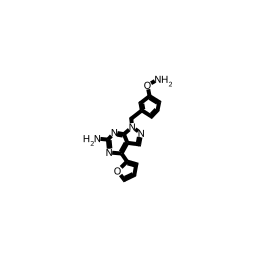 NOc1cccc(Cn2ncc3c(-c4ccco4)nc(N)nc32)c1